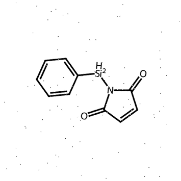 O=C1C=CC(=O)N1[SiH2]c1ccccc1